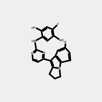 CCCc1cc(F)c([N+](=O)[O-])cc1Nc1nccc(-c2c3n(c4ccc(F)cc24)CCC3)n1